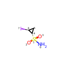 NS(=O)(=O)[C@H]1C[C@@H]1I